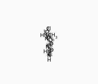 Cn1c(Nc2ccc(Cl)cc2)nc2cc(Oc3ccnc(C(=O)N[C@@H]4CCNC4)c3)ccc21